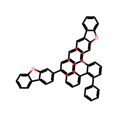 c1ccc(-c2ccccc2-c2c(-c3ccccc3)cccc2N(c2ccc(-c3ccc4c(c3)oc3ccccc34)cc2)c2ccc3c(c2)oc2ccccc23)cc1